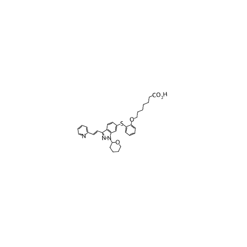 O=C(O)CCCCCCOc1ccccc1Sc1ccc2c(/C=C/c3ccccn3)nn(C3CCCCO3)c2c1